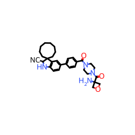 N#CC1Nc2ccc(-c3ccc(C(=O)N4CCN(C(=O)C5(N)COC5)CC4)cc3)cc2C12CCCCCCCC2